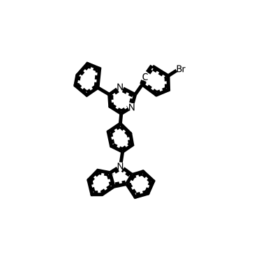 Brc1ccc(-c2nc(-c3ccccc3)cc(-c3ccc(-n4c5ccccc5c5ccccc54)cc3)n2)cc1